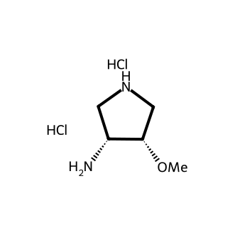 CO[C@H]1CNC[C@H]1N.Cl.Cl